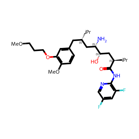 COCCCOc1cc(C[C@@H](C[C@H](N)[C@@H](O)C[C@H](C(=O)Nc2ncc(F)cc2F)C(C)C)C(C)C)ccc1OC